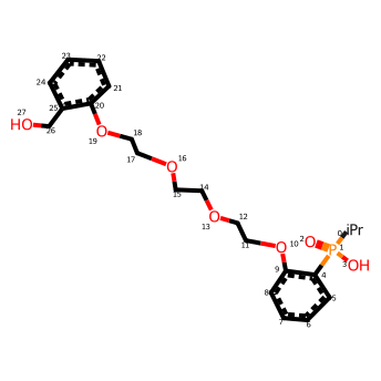 CC(C)P(=O)(O)c1ccccc1OCCOCCOCCOc1ccccc1CO